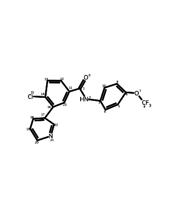 O=C(Nc1ccc(OC(F)(F)F)cc1)c1ccc(Cl)c(-c2cccnc2)c1